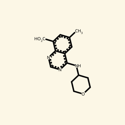 Cc1cc(C(=O)O)c2ncnc(NC3CCOCC3)c2c1